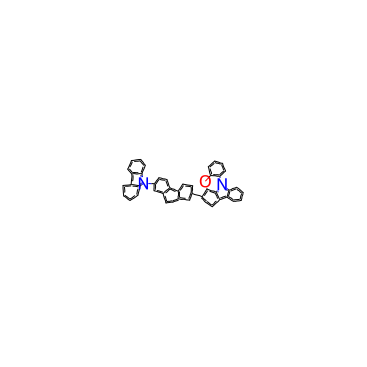 c1ccc2c(c1)Oc1c(-c3ccc4c(ccc5cc(-n6c7ccccc7c7ccccc76)ccc54)c3)ccc3c4ccccc4n-2c13